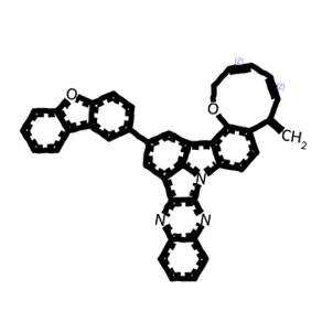 C=C1/C=C\C=C/COc2c1ccc1c2c2cc(-c3ccc4oc5ccccc5c4c3)cc3c4nc5ccccc5nc4n1c32